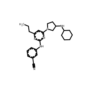 CCCc1cc(N2CCC(NC3CCCCC3)C2)nc(Nc2cccc(C#N)c2)n1